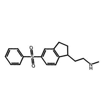 CNCCC1CCc2cc(S(=O)(=O)c3ccccc3)ccc21